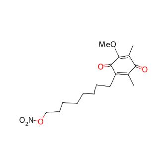 COC1=C(C)C(=O)C(C)=C(CCCCCCCCO[N+](=O)[O-])C1=O